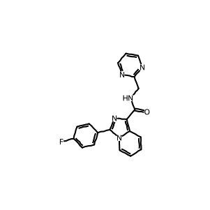 O=C(NCc1ncccn1)c1nc(-c2ccc(F)cc2)n2ccccc12